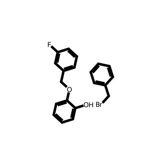 BrCc1ccccc1.Oc1ccccc1OCc1cccc(F)c1